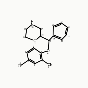 N#Cc1cc(Cl)ccc1OC(c1ccccc1)C1CNCCO1